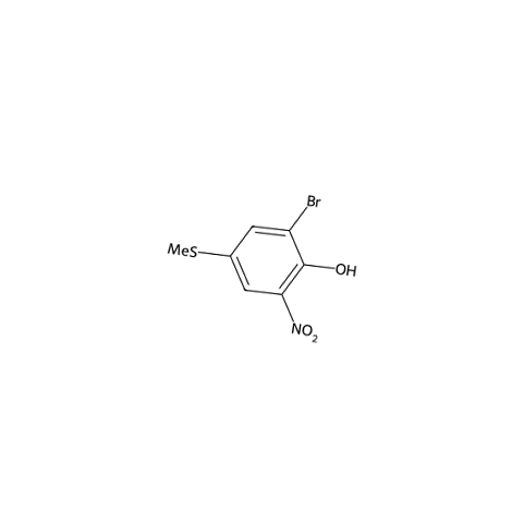 CSc1cc(Br)c(O)c([N+](=O)[O-])c1